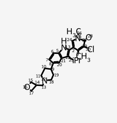 Cc1c(-c2[nH]c3ccc(C4CCN(CC5COC5)CC4)cc3c2C(C)C)cn(C)c(=O)c1Cl